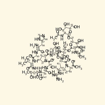 CC(=O)NC1C(O)[C@H](O)C(CO)O[C@H]1OCC1O[C@H](OC(C)[C@H](NC(=O)[C@H](CC(=O)O)NC(=O)[C@@H]2CCCN2C(=O)[C@H](C)NC(=O)[C@H](CO)NC(=O)[C@@H](NC(=O)[C@@H](NC(=O)CNC(=O)[C@@H](N)Cc2cnc[nH]2)C(C)C)C(C)O)C(=O)N[C@@H](CCCNC(=N)N)C(=O)N2CCC[C@H]2C(C)=O)C(NC(C)=O)C(O)[C@H]1O